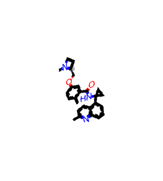 Cc1ccc2c(C3(NC(=O)c4cc(OC[C@@H]5CCN5C)ccc4C)CC3)cccc2n1